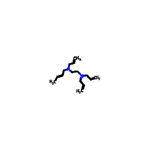 C=CCN(CC=C)CCN(CC=C)C/C=C/C